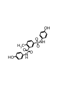 Cc1ccc(S(=O)(=O)Nc2ccc(O)cc2)cc1S(=O)(=O)Nc1ccc(O)cc1